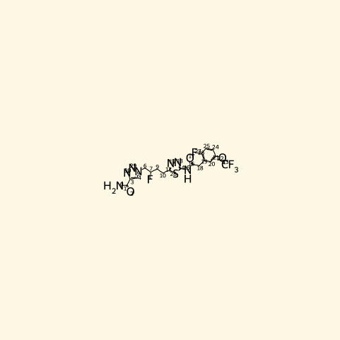 NC(=O)c1cn(CC(F)CCc2nnc(NC(=O)Cc3cc(OC(F)(F)F)ccc3F)s2)nn1